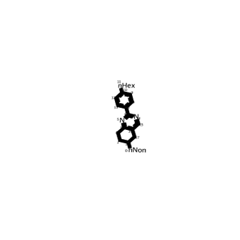 CCCCCCCCCC1CCc2nc(-c3ccc(CCCCCC)cc3)ncc2C1